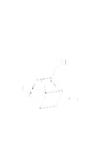 CC1=C2CC(CC1)C2(C)C.[Ca]